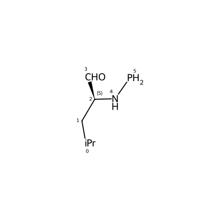 CC(C)C[C@@H](C=O)NP